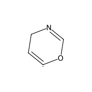 [C]1=CCN=CO1